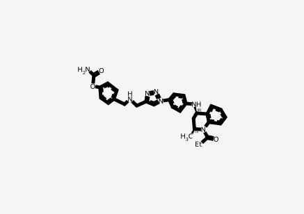 CCC(=O)N1c2ccccc2[C@H](Nc2ccc(-n3cc(CNCc4ccc(OC(N)=O)cc4)nn3)cc2)C[C@@H]1C